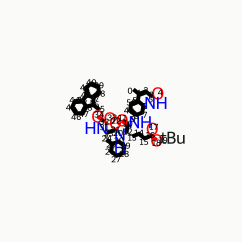 CC1=CC(=O)NC2CC(NC(=O)[C@H](CCCC(=O)OC(C)(C)C)NC(=O)[C@H](CC3CCCCC3)NC(=O)OCC3c4ccccc4-c4ccccc43)=CC=C12